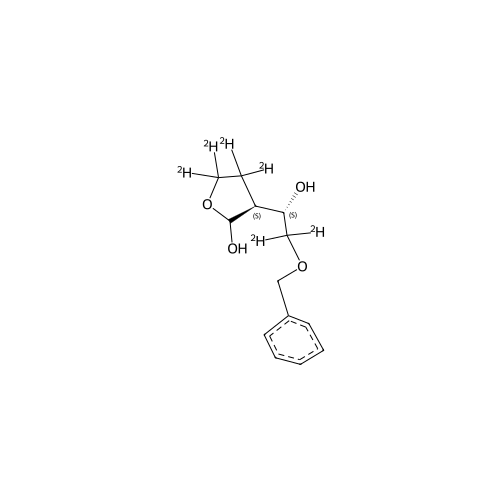 [2H]C([2H])(OCc1ccccc1)[C@@H](O)[C@H]1C(O)OC([2H])([2H])C1([2H])[2H]